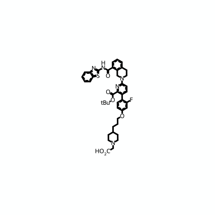 CC(C)(C)OC(=O)c1nc(N2CCc3cccc(C(=O)Nc4nc5ccccc5s4)c3C2)ccc1-c1ccc(OCCCC2CCN(CC(=O)O)CC2)cc1F